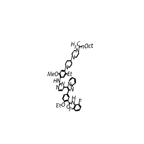 CCCCCCCCC(C)N1CCN(C2CCN(c3cc(OC)c(Nc4nccc(-c5c(-c6ccc(OCC)c(C(=O)Nc7c(F)cccc7F)c6)nc6ccccn56)n4)cc3CC)CC2)CC1